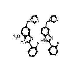 Fc1ccccc1-c1nc2cc(Cn3ccnc3)ccc2[nH]1.Fc1ccccc1-c1nc2cc(Cn3ccnc3)ccc2[nH]1.O